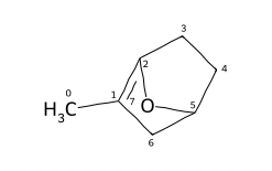 CC1=C2CCC(C1)O2